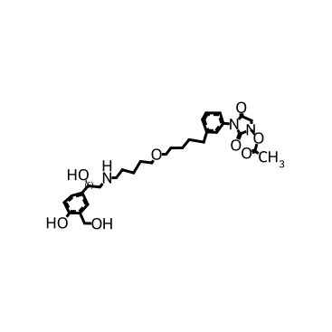 CC(=O)ON1CC(=O)N(c2cccc(CCCCCOCCCCCNC[C@@H](O)c3ccc(O)c(CO)c3)c2)C1=O